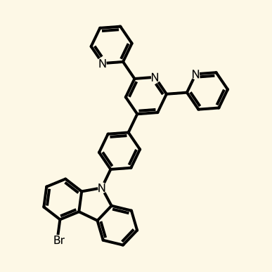 Brc1cccc2c1c1ccccc1n2-c1ccc(-c2cc(-c3ccccn3)nc(-c3ccccn3)c2)cc1